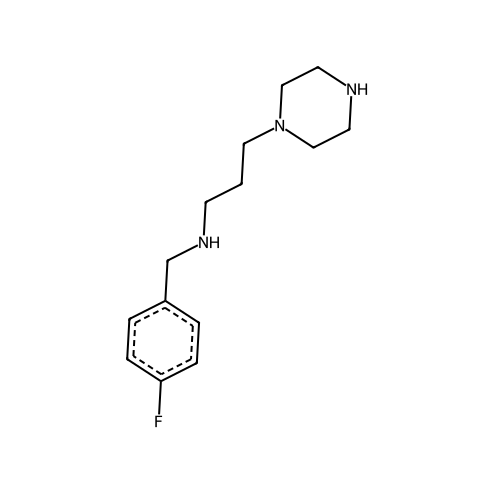 Fc1ccc(CNCCCN2CCNCC2)cc1